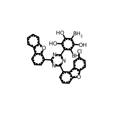 Bc1c(O)c(B)c(-c2nc(-c3cccc4c3oc3ccccc34)nc(-c3cccc4oc5ccc(Cl)cc5c34)n2)c(O)c1O